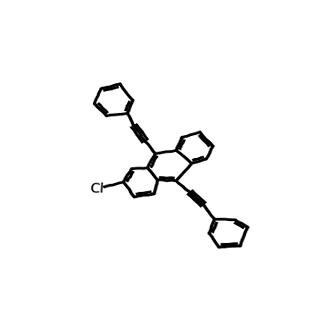 Clc1ccc2c(C#Cc3ccccc3)c3ccccc3c(C#Cc3ccccc3)c2c1